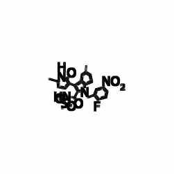 Cc1ccc2c(c1)c(-c1ccc(C)[nH]c1=O)c(C(=O)NS(C)(=O)=O)n2Cc1cc([N+](=O)[O-])ccc1F